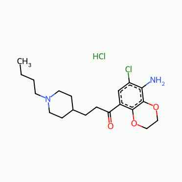 CCCCN1CCC(CCC(=O)c2cc(Cl)c(N)c3c2OCCO3)CC1.Cl